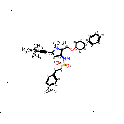 COc1ccc(CCS(=O)(=O)NC2CC(C#C[Si](C)(C)C)N(C(=O)O)C2CO[C@H]2CC[C@@H](c3ccccc3)CC2)cc1